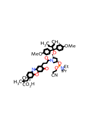 C=CC(=CC)C(OC[C@@H]1C[C@@H](OP(OCCC#N)N(CC)C(C)C)CN1C(=O)CCc1cc2nc3ccc(CC(C)(C)C(=O)O)cc3oc-2cc1=O)(c1ccc(OC)cc1)c1ccc(OC)cc1